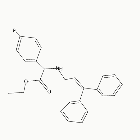 CCOC(=O)C(NCC=C(c1ccccc1)c1ccccc1)c1ccc(F)cc1